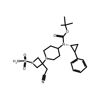 CC(C)(C)OC(=O)N(C1CCN(C2(CC#N)CN(S(N)(=O)=O)C2)CC1)[C@@H]1CC1c1ccccc1